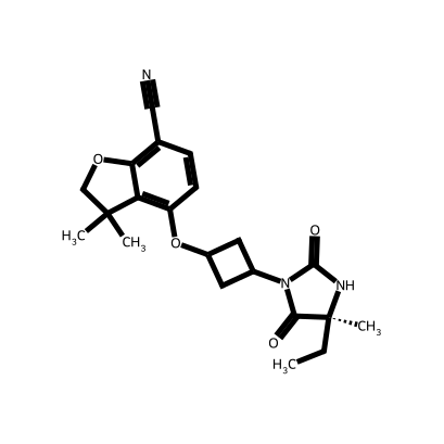 CC[C@]1(C)NC(=O)N(C2CC(Oc3ccc(C#N)c4c3C(C)(C)CO4)C2)C1=O